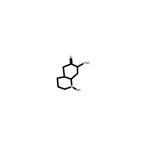 CCCN1CCCC2CC(=O)C(C=O)CC21